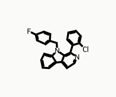 Fc1ccc(Cn2c3ccccc3c3ccnc(-c4ccccc4Cl)c32)cc1